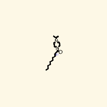 CCCCCCC/C=C/C(=O)N1CCN(C(C)C)CC1